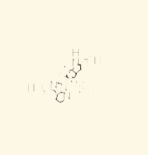 CCOc1nc(Sc2nc(OC)c3cccnc3n2)nc2[nH]c(CC)c(Cl)c12